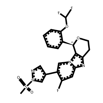 CS(=O)(=O)n1cc(-c2cn3c4c(nc3cc2F)CCO[C@@H]4c2ccccc2OC(F)F)cn1